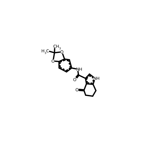 CC1(C)Oc2ccc(NC(=O)c3c[nH]c4c3C(=O)CCC4)cc2O1